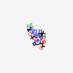 CC(=O)C(=O)[C@@H](CC1CCC1)NC(=O)[C@@H]1[C@@H]2[C@H](CN1C(=O)[C@@H](NC(=O)NC1(C(F)(F)F)CC1)C(C)(C)C)C2(C)C